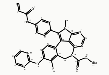 C=CC(=O)Nc1ccc(-c2c3c4c(ncnc4n2C)N(C(=O)OC(C)(C)C)Cc2c-3ccc(Oc3ncccn3)c2F)cc1